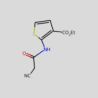 CCOC(=O)c1ccsc1NC(=O)CC#N